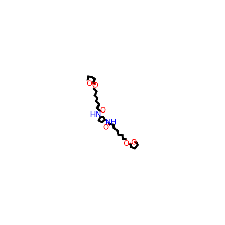 O=C(/C=C/CCCCCOC1CCCCO1)N[C@@H]1CC[C@H](NC(=O)/C=C/CCCCCOC2CCCCO2)C1